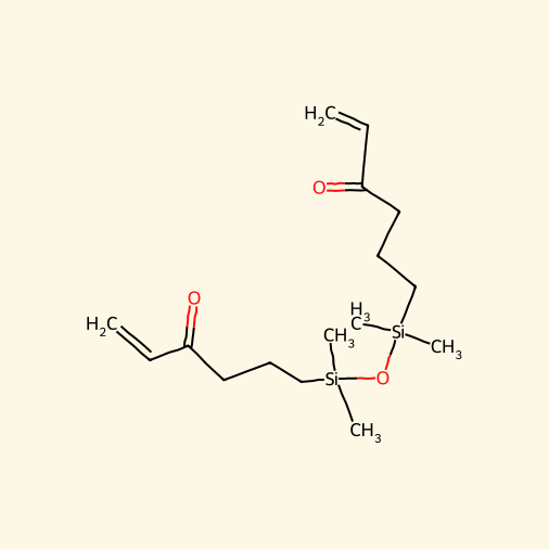 C=CC(=O)CCC[Si](C)(C)O[Si](C)(C)CCCC(=O)C=C